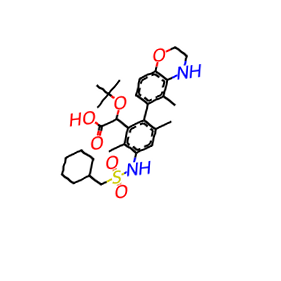 Cc1cc(NS(=O)(=O)CC2CCCCC2)c(C)c(C(OC(C)(C)C)C(=O)O)c1-c1ccc2c(c1C)NCCO2